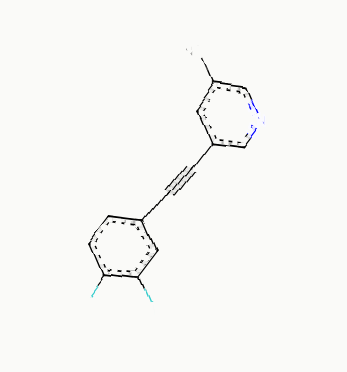 N#Cc1cncc(C#Cc2ccc(F)c(F)c2)c1